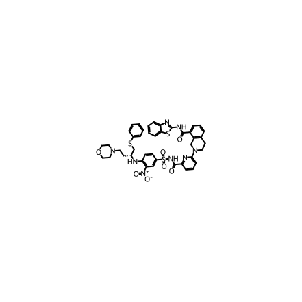 O=C(NS(=O)(=O)c1ccc(N[C@H](CCN2CCOCC2)CSc2ccccc2)c([N+](=O)[O-])c1)c1cccc(N2CCc3cccc(C(=O)Nc4nc5ccccc5s4)c3C2)n1